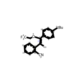 CC(C)(C)c1ccc(/C(OCC(F)(F)F)=C(\I)c2ccccc2C#N)cc1